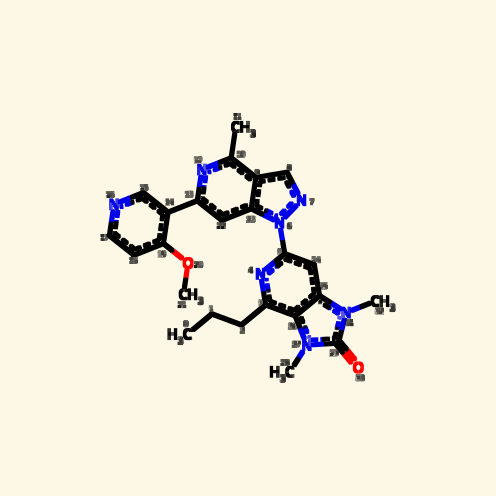 CCCc1nc(-n2ncc3c(C)nc(-c4cnccc4OC)cc32)cc2c1n(C)c(=O)n2C